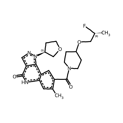 Cc1cc2[nH]c(=O)c3cnn([C@H]4CCOC4)c3c2cc1C(=O)N1CCC(OC[C@@H](C)F)CC1